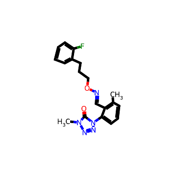 Cc1cccc(-n2nnn(C)c2=O)c1C=NOCCCc1ccccc1F